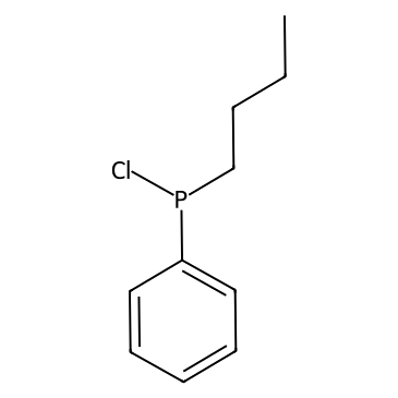 CCCCP(Cl)c1ccccc1